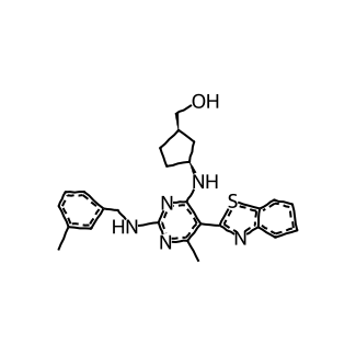 Cc1cccc(CNc2nc(C)c(-c3nc4ccccc4s3)c(N[C@H]3CC[C@@H](CO)C3)n2)c1